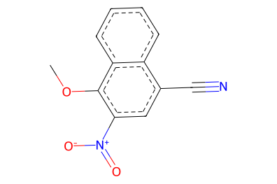 COc1c([N+](=O)[O-])cc(C#N)c2ccccc12